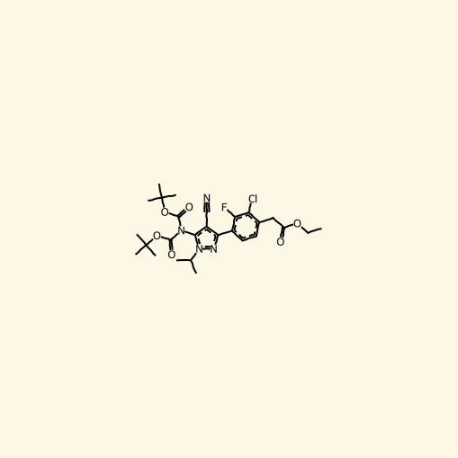 CCOC(=O)Cc1ccc(-c2nn(C(C)C)c(N(C(=O)OC(C)(C)C)C(=O)OC(C)(C)C)c2C#N)c(F)c1Cl